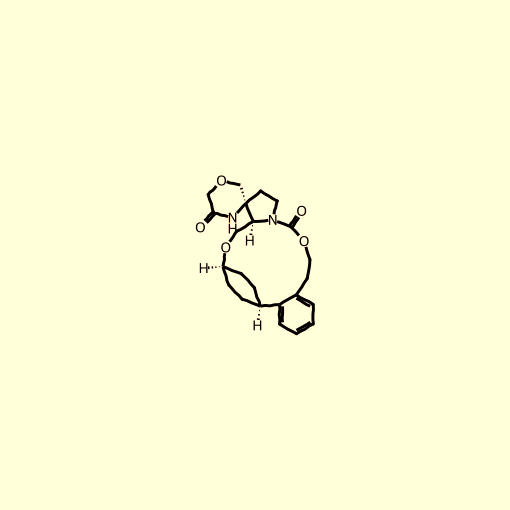 O=C1COC[C@@]2(CCN3C(=O)OCCc4ccccc4[C@H]4CC[C@H](CC4)OC[C@H]32)N1